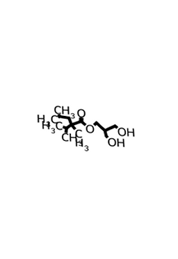 CC(C)CC(C)(C(=O)OCC(CO)CO)C(C)C